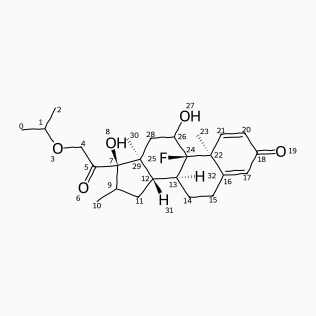 CC(C)OCC(=O)[C@@]1(O)C(C)C[C@H]2[C@@H]3CCC4=CC(=O)C=C[C@]4(C)[C@@]3(F)C(O)C[C@@]21C